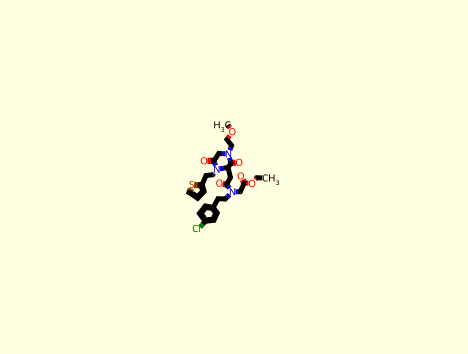 CCOC(=O)CN(CCc1ccc(Cl)cc1)C(=O)CC1C(=O)N(CCOC)CC(=O)N1CCc1cccs1